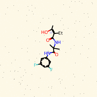 CC/C(C(=O)NC(C)(C)C(=O)Nc1cc(F)cc(F)c1)=C(\C)O